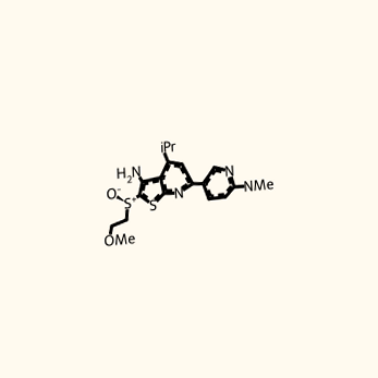 CNc1ccc(-c2cc(C(C)C)c3c(N)c([S@+]([O-])CCOC)sc3n2)cn1